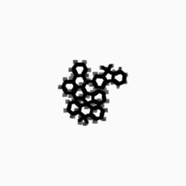 CC1(C)c2ccccc2-c2ccc(N(c3ccccc3-c3ccccc3)c3cccc4c3-c3ccccc3C43c4ccccc4C(C)(C)c4ccccc43)cc21